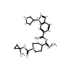 C=C(O/C(=N\C)C1CCN(C(=O)OC2(C)CC2)CC1)c1ccc2cnn(C3CCOC3)c2c1